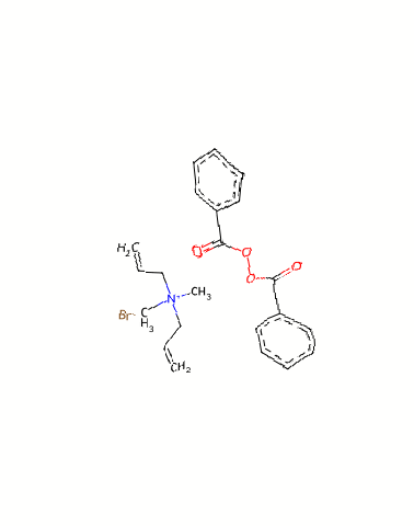 C=CC[N+](C)(C)CC=C.O=C(OOC(=O)c1ccccc1)c1ccccc1.[Br-]